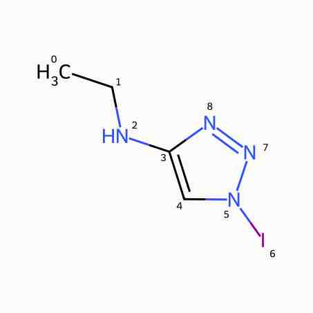 CCNc1cn(I)nn1